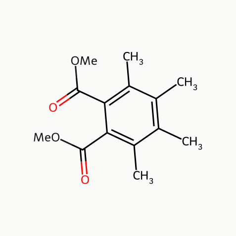 COC(=O)c1c(C)c(C)c(C)c(C)c1C(=O)OC